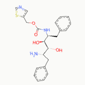 N[C@@H](Cc1ccccc1)[C@@H](O)[C@@H](O)[C@H](Cc1ccccc1)NC(=O)OCc1cncs1